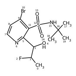 CC(F)C(O)c1nccc(Br)c1S(=O)(=O)NC(C)(C)C